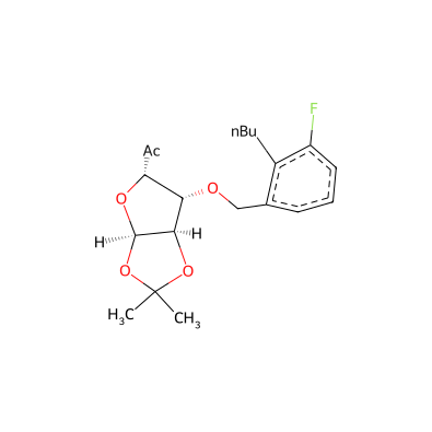 CCCCc1c(F)cccc1CO[C@@H]1[C@H]2OC(C)(C)O[C@H]2O[C@@H]1C(C)=O